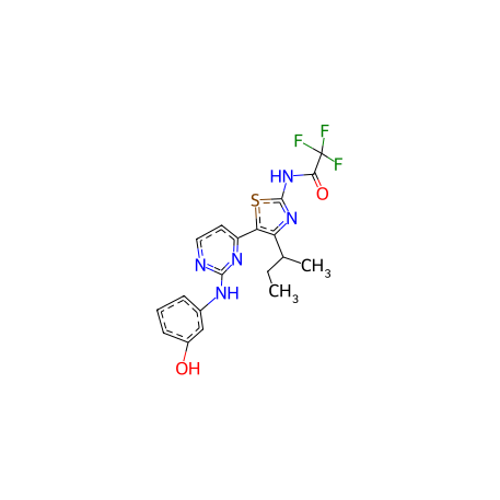 CCC(C)c1nc(NC(=O)C(F)(F)F)sc1-c1ccnc(Nc2cccc(O)c2)n1